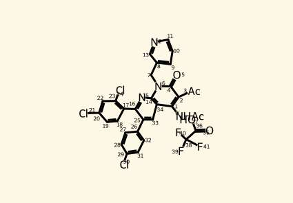 CC(=O)Nc1c(C(C)=O)c(=O)n(Cc2cccnc2)c2nc(-c3ccc(Cl)cc3Cl)c(-c3ccc(Cl)cc3)cc12.O=C(O)C(F)(F)F